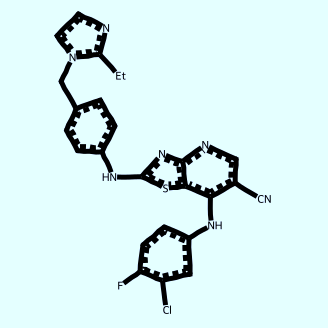 CCc1nccn1Cc1ccc(Nc2nc3ncc(C#N)c(Nc4ccc(F)c(Cl)c4)c3s2)cc1